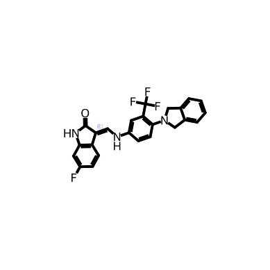 O=C1Nc2cc(F)ccc2/C1=C\Nc1ccc(N2Cc3ccccc3C2)c(C(F)(F)F)c1